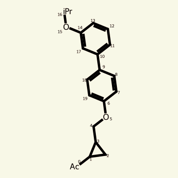 CC(=O)C1CC1COc1ccc(-c2cccc(OC(C)C)c2)cc1